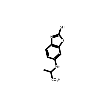 CC(Nc1ccc2nc(S)sc2c1)C(=O)O